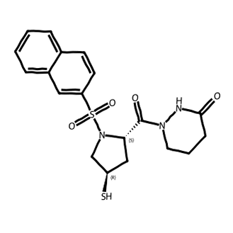 O=C1CCCN(C(=O)[C@@H]2C[C@@H](S)CN2S(=O)(=O)c2ccc3ccccc3c2)N1